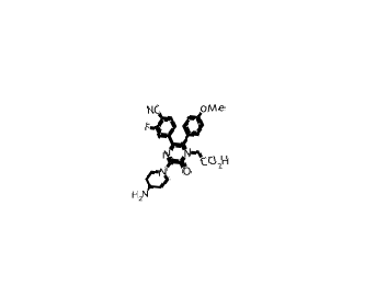 COc1ccc(-c2c(-c3ccc(C#N)c(F)c3)nc(N3CCC(N)CC3)c(=O)n2CC(=O)O)cc1